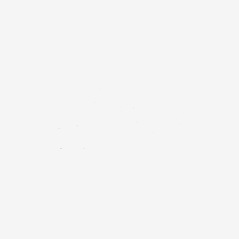 Cc1ccccc1SCCC(Oc1cccc(C(F)(F)F)c1)C(=O)O